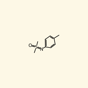 Cc1ccc(N=S(C)(C)=O)cc1